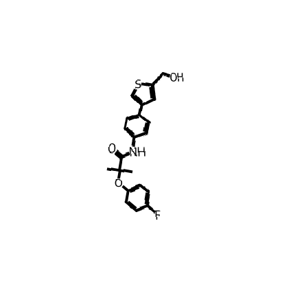 CC(C)(Oc1ccc(F)cc1)C(=O)Nc1ccc(-c2csc(CO)c2)cc1